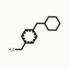 CCc1ccc(CC2CCCCC2)cc1